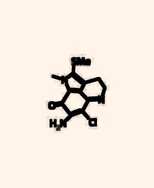 CSc1c2c3c(n1C)C(=O)C(N)=C(Cl)C3=NCC2